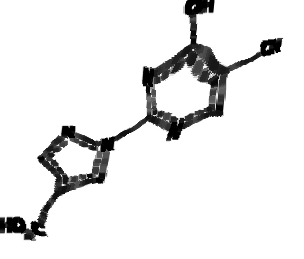 N#Cc1cnc(-n2cc(C(=O)O)cn2)nc1O